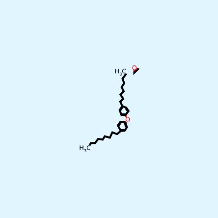 C1CO1.CCCCCCCCCc1ccc(Oc2ccc(CCCCCCCCC)cc2)cc1